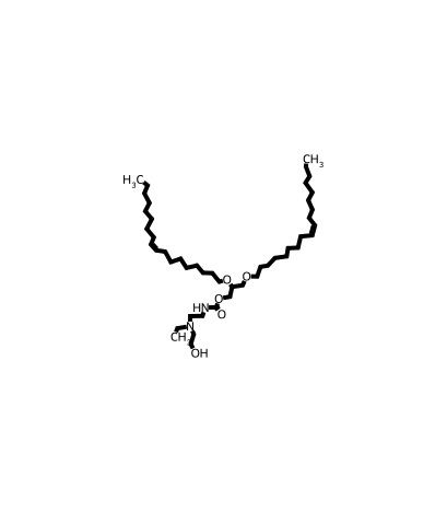 CCCCCCCC/C=C\CCCCCCCCOCC(COC(=O)NCCN(CC)CCO)OCCCCCCCC/C=C\CCCCCCCC